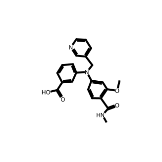 CNC(=O)c1ccc(N(Cc2cccnc2)c2cccc(C(=O)O)c2)cc1OC